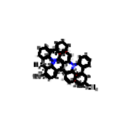 CC1C=CC=C(c2ccccc2N2C3=CCC(C)C4=C3B(C3=CC=C(C(C)(C)C)C(C)C3N4C3=CCCC=C3C3=CCCC=C3)c3ccc(C(C)(C)C)cc32)C1